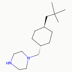 CC(C)(C)C[C@H]1CC[C@H](CN2CCNCC2)CC1